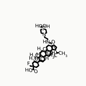 C=C(C)[C@@H]1CC[C@]2(C(=O)NCCN3CCS(O)(O)CC3)CC[C@]3(C)[C@H](CC[C@@H]4[C@@]5(C)CC=C(C6=CCC(CF)(C(=O)O)CC6)C(C)(C)[C@@H]5CC[C@]43C)[C@@H]12